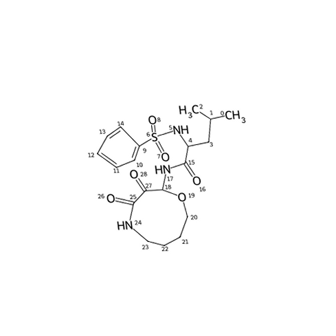 CC(C)CC(NS(=O)(=O)c1ccccc1)C(=O)NC1OCCCCNC(=O)C1=O